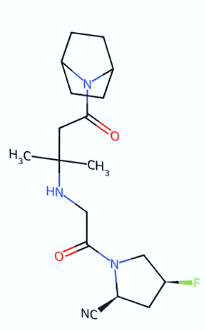 CC(C)(CC(=O)N1C2CCC1CC2)NCC(=O)N1C[C@@H](F)C[C@H]1C#N